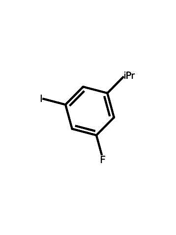 CC(C)c1cc(F)cc(I)c1